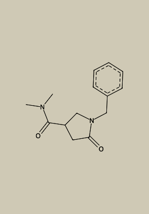 CN(C)C(=O)C1CC(=O)N(Cc2ccccc2)C1